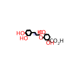 O=C(/C=C/c1ccc(O)c(O)c1)O[C@@H]1C[C@@](O)(C(=O)O)CC[C@@H]1O